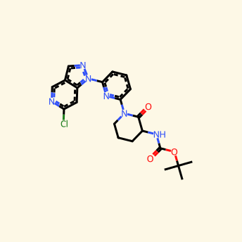 CC(C)(C)OC(=O)NC1CCCN(c2cccc(-n3ncc4cnc(Cl)cc43)n2)C1=O